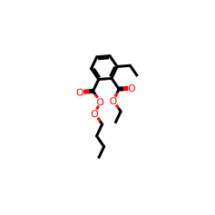 CCCCOOC(=O)c1cccc(CC)c1C(=O)OCC